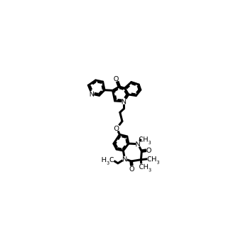 CCN1C(=O)C(C)(C)C(=O)N(C)c2cc(OCCCn3cc(-c4cccnc4)c(=O)c4ccccc43)ccc21